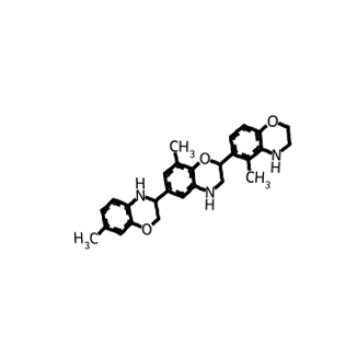 Cc1ccc2c(c1)OCC(c1cc(C)c3c(c1)NCC(c1ccc4c(c1C)NCCO4)O3)N2